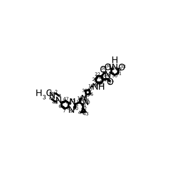 CN1CCN(c2ccc3ncc(-c4cn([C@H]5C[C@H](CNc6ccc7c(c6)C(=O)N(C6CCC(=O)NC6=O)C7=O)C5)nc4C4CC4)nc3c2)CC1